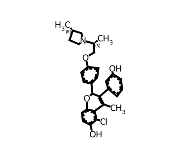 CC1=C(c2cccc(O)c2)C(c2ccc(OC[C@H](C)N3CC[C@@H](C)C3)cc2)Oc2ccc(O)c(Cl)c21